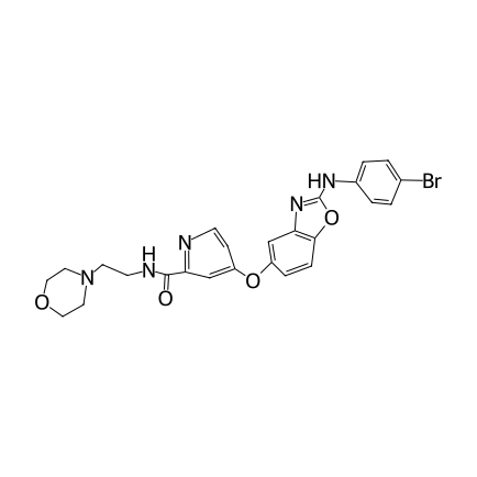 O=C(NCCN1CCOCC1)c1cc(Oc2ccc3oc(Nc4ccc(Br)cc4)nc3c2)ccn1